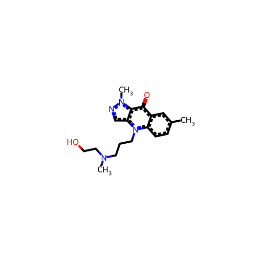 Cc1ccc2c(c1)c(=O)c1c(cnn1C)n2CCCN(C)CCO